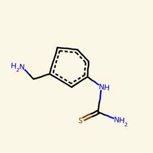 NCc1cccc(NC(N)=S)c1